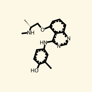 CN[C@H](C)COc1cccc2ncnc(Nc3ccc(O)c(C)c3)c12